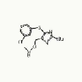 C[SiH](C)OCc1nc(C(C)(C)C)[nH]c1Sc1cccc(Cl)c1